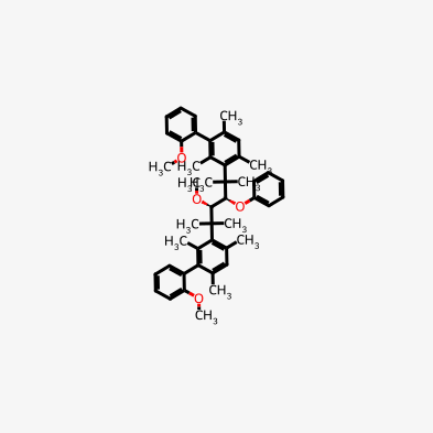 COc1ccccc1-c1c(C)cc(C)c(C(C)(C)[C@@H](OC)[C@H](Oc2ccccc2)C(C)(C)c2c(C)cc(C)c(-c3ccccc3OC)c2C)c1C